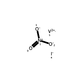 O=[N+]([O-])[O-].[I-].[V+2]